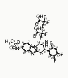 CS(=O)(=O)Nc1ccc2c(c1)nc1n2C[C@H](N)[C@@H](c2cc(F)c(F)cc2F)C1.O=C(O)C(F)(F)F.O=C(O)C(F)(F)F